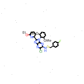 CCOc1cccc(-c2nc3nc(Cl)c(NSCc4ccc(F)cc4)nc3n2-c2c(OC)cccc2OC)n1